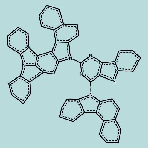 c1ccc2c(c1)ccc1c2c2ccccc2n1-c1nc(-n2c3ccc4ccccc4c3c3c4c5ccccc5n5c6ccccc6c(cc32)c45)nc2c1sc1ccccc12